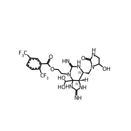 N=C1N[C@H]2[C@H](CN3C(=O)NCC3O)NC(=N)N(CCOC(=O)c3cc(C(F)(F)F)ccc3C(F)(F)F)C2(C(O)O)N1